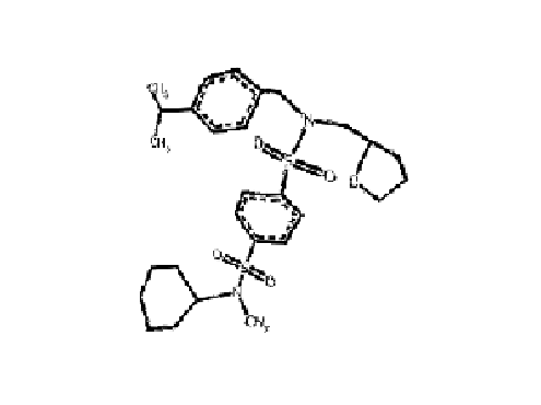 CC(C)c1ccc(CN(CC2CCCO2)S(=O)(=O)c2ccc(S(=O)(=O)N(C)C3CCCCC3)cc2)cc1